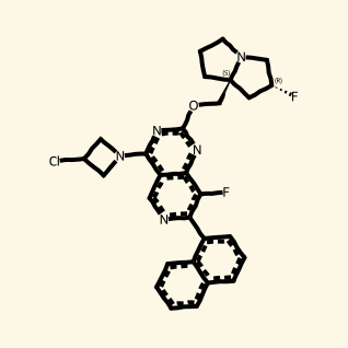 Fc1c(-c2cccc3ccccc23)ncc2c(N3CC(Cl)C3)nc(OC[C@@]34CCCN3C[C@H](F)C4)nc12